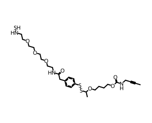 CC#CCNC(=O)OCCCCOC(C)SSc1ccc(CC(=O)NCCOCCOCCOCCNS)cc1